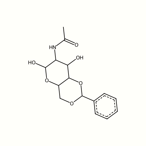 CC(=O)NC1C(O)OC2COC(c3ccccc3)OC2C1O